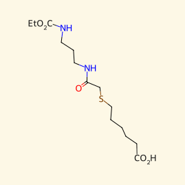 CCOC(=O)NCCCNC(=O)CSCCCCCC(=O)O